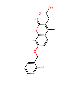 Cc1c(CC(=O)O)c(=O)oc2c(C)c(OCc3ccccc3F)ccc12